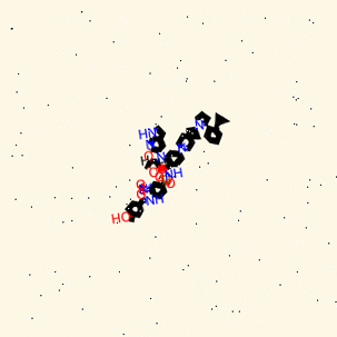 CC1(O)CCC(CNc2ccc(S(=O)(=O)NC(=O)c3ccc(N4CCC5(CC4)CC(N4CCC[C@H]4c4ccccc4C4CC4)C5)cc3N3c4cc5cc[nH]c5nc4O[C@H]4COC[C@@H]43)cc2[N+](=O)[O-])CC1